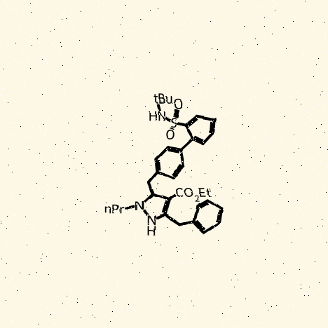 CCCN1NC(Cc2ccccc2)=C(C(=O)OCC)C1Cc1ccc(-c2ccccc2S(=O)(=O)NC(C)(C)C)cc1